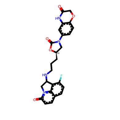 O=C1COc2ccc(N3C[C@@H](CCCNC4Cn5c(=O)ccc6ccc(F)c4c65)OC3=O)cc2N1